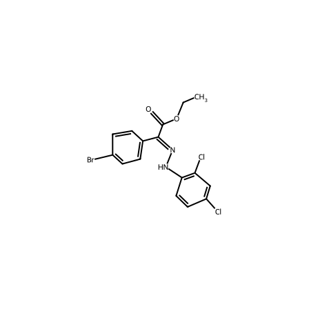 CCOC(=O)/C(=N/Nc1ccc(Cl)cc1Cl)c1ccc(Br)cc1